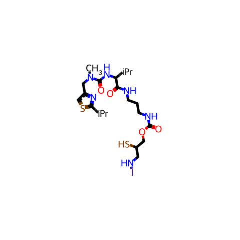 CC(C)c1nc(CN(C)C(=O)NC(C(=O)NCCCNC(=O)OCC(S)CNI)C(C)C)cs1